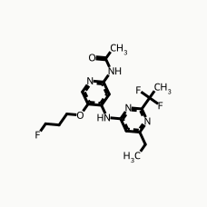 CCc1cc(Nc2cc(NC(C)=O)ncc2OCCCF)nc(C(C)(F)F)n1